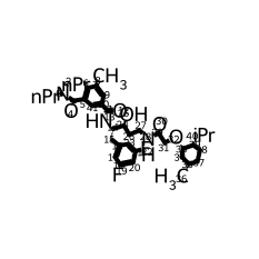 CCCN(CCC)C(=O)c1cc(C)cc(C(=O)N[C@@H](Cc2cc(F)cc(F)c2)[C@H](O)CCNC(=O)CO[C@H]2C[C@@H](C)CC[C@@H]2C(C)C)c1